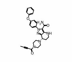 CC#CC(=O)N1CCN([C@H]2CCNc3c2nn(-c2ccc(Oc4ccccc4)cc2)c3C(N)=O)CC1